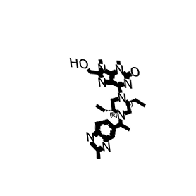 CC[C@H]1CN(C(C)c2ccc3ncc(C)nc3c2)[C@H](CC)CN1c1nc(=O)n(C)c2c1nc(CO)n2C